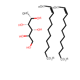 CCCCCCCC/C=C\CCCCCCCC(=O)O.CCCCCCCC/C=C\CCCCCCCC(=O)O.O=C[C@H](O)[C@@H](O)[C@H](O)[C@H](O)CO